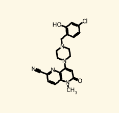 Cn1c(=O)cc(N2CCN(Cc3ccc(Cl)cc3O)CC2)c2nc(C#N)ccc21